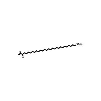 C=C(C)C(=O)CCCCCCCCCCCCCCCCCCCCCCCCCCOC